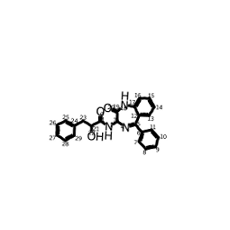 O=C(NC1N=C(c2ccccc2)c2ccccc2NC1=O)C(O)Cc1ccccc1